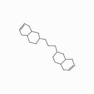 C1=CCC2CC(CCCC3CCC4CC=CCC4C3)CCC2C1